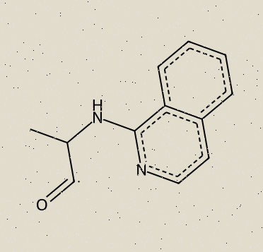 CC([C]=O)Nc1nccc2ccccc12